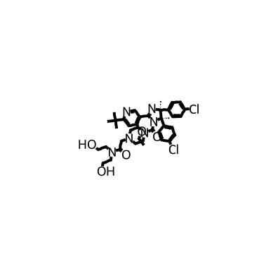 CCOc1cc(C(C)(C)C)ncc1C1=N[C@@](C)(c2ccc(Cl)cc2)[C@@](C)(c2ccc(Cl)cc2)N1C(=O)N1CCN(CC(=O)N(CCO)CCO)CC1